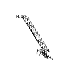 COC(=O)CC(=O)Oc1c(C)c(C)c(O)c(C/C=C(\C)CC/C=C(\C)CC/C=C(\C)CC/C=C(\C)CC/C=C(\C)CC/C=C(\C)CC/C=C(\C)CC/C=C(\C)CC/C=C(\C)CCC=C(C)C)c1C